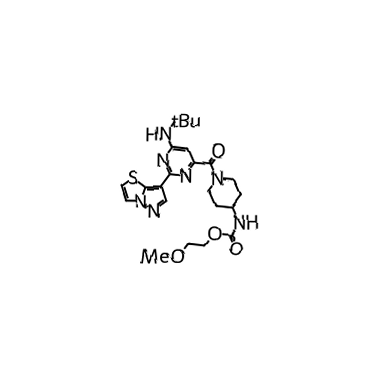 COCCOC(=O)NC1CCN(C(=O)c2cc(NC(C)(C)C)nc(-c3cnn4ccsc34)n2)CC1